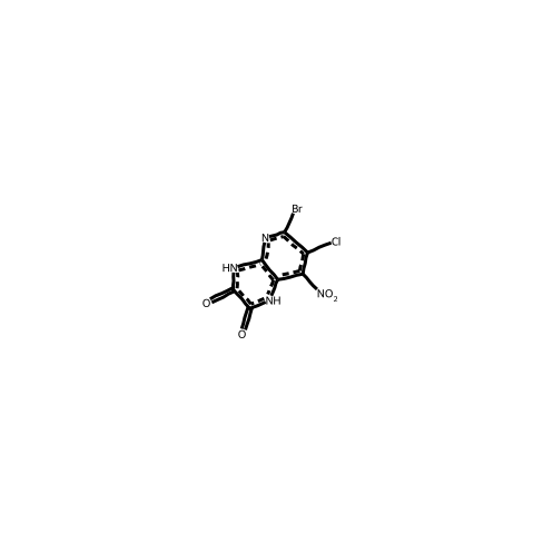 O=c1[nH]c2nc(Br)c(Cl)c([N+](=O)[O-])c2[nH]c1=O